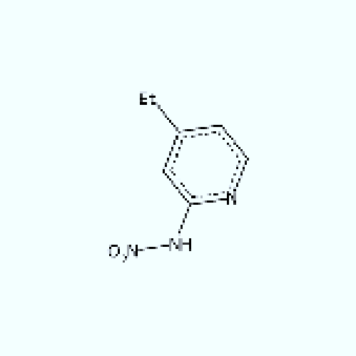 CCc1ccnc(N[N+](=O)[O-])c1